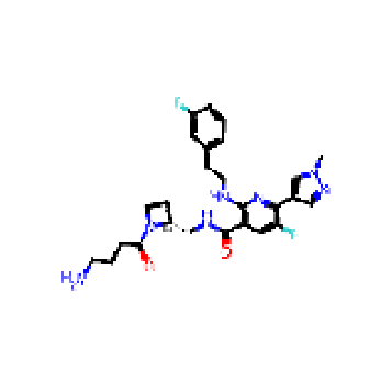 Cn1cc(-c2nc(NCCc3cccc(F)c3)c(C(=O)NC[C@H]3CCN3C(=O)CCCN)cc2F)cn1